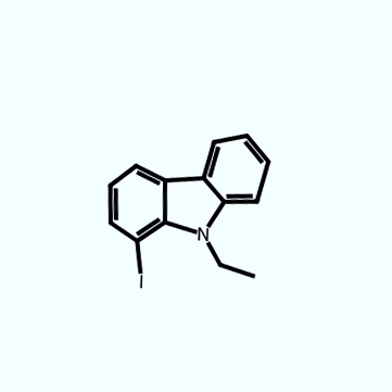 CCn1c2ccccc2c2cccc(I)c21